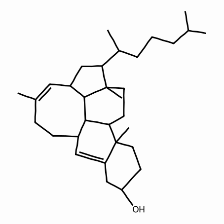 CC1=CC2CC(C(C)CCCC(C)C)C3(C)CCC4C(C(C=C5CC(O)CCC54C)CC1)C23